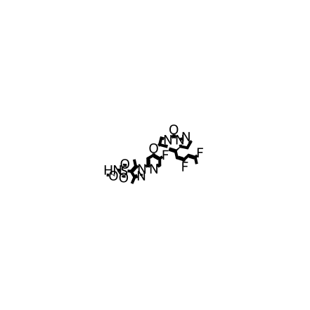 C=C(/C=C(F)\C=C(/C)F)[C@@H]1CC=NN1C(=O)N1CC(Oc2cc(-n3nc(C)c(S(=O)(=O)NOC)c3C)ncc2F)C1